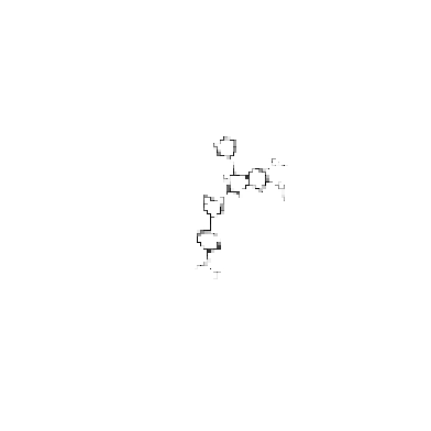 COc1cc2nc(-n3cc(-c4ccc([S+](C)[O-])cc4)cn3)nc(-c3cccnc3)c2cc1OC